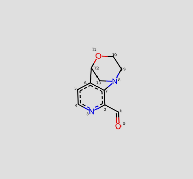 O=Cc1nccc2c1N1CCOC2C1